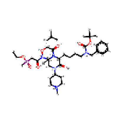 CCOP(C)(=O)CC(=O)N1O[C@H](CC(C)C)C(=O)N2[C@@H]1CN(C1CCN(C)CC1)C(=O)[C@@H]2CCCCN(Cc1ccccc1)C(=O)OC(C)(C)C